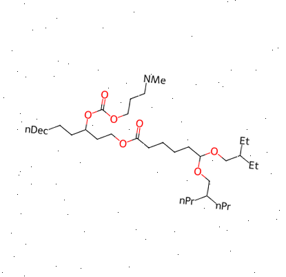 CCCCCCCCCCCCC(CCOC(=O)CCCCC(OCC(CC)CC)OCC(CCC)CCC)OC(=O)OCCCNC